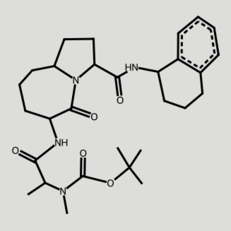 CC(C(=O)NC1CCCC2CCC(C(=O)NC3CCCc4ccccc43)N2C1=O)N(C)C(=O)OC(C)(C)C